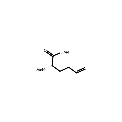 C=CCC[C@H](NC)C(=O)OC